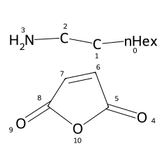 CCCCCCCCN.O=C1C=CC(=O)O1